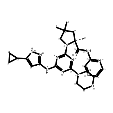 CC1(C)CN(c2nc(Nc3cc(C4CC4)[nH]n3)nc(N3CCOCC3)n2)[C@](C)(C(=O)Nc2cnccn2)C1